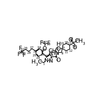 CCn1nc(C(=O)NCC2(O)CCC(S(C)(=O)=O)CC2)c(C)c1-c1ccc(CCCC(F)(F)F)cc1OC(F)F